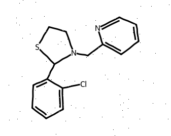 Clc1ccccc1C1SCCN1Cc1ccccn1